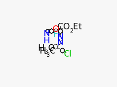 CCOC(=O)c1ccc(N2CCN(CC3=C(c4ccc(Cl)cc4)CC(C)(C)CC3)CC2)c(F)c1Oc1ccc2[nH]ccc2c1